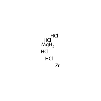 Cl.Cl.Cl.Cl.[MgH2].[Zr]